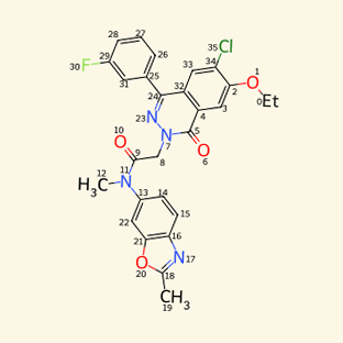 CCOc1cc2c(=O)n(CC(=O)N(C)c3ccc4nc(C)oc4c3)nc(-c3cccc(F)c3)c2cc1Cl